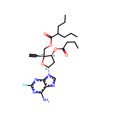 C#C[C@]1(COC(=O)C(CCC)CCC)O[C@@H](n2cnc3c(N)nc(F)nc32)C[C@@H]1OC(=O)CCC